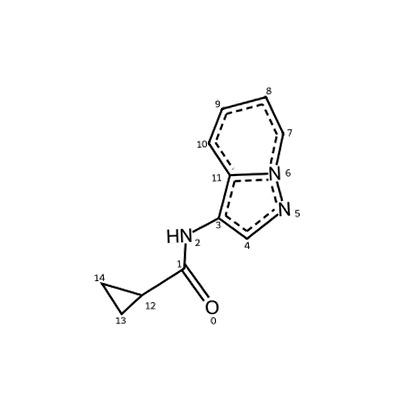 O=C(Nc1cnn2ccccc12)C1CC1